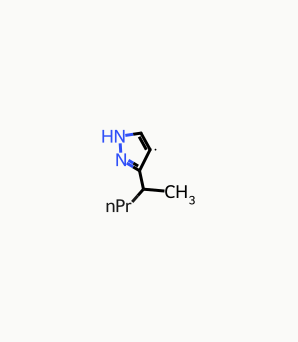 CCCC(C)c1[c]c[nH]n1